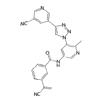 C=C(C#N)c1cccc(C(=O)Nc2cnc(C)c(-n3cc(-c4cncc(C#N)c4)nn3)c2)c1